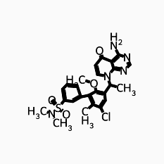 COc1c(C(C)n2ccc(=O)c3c(N)ncnc32)cc(Cl)c(C)c1-c1cccc(S(=O)(=O)N(C)C)c1